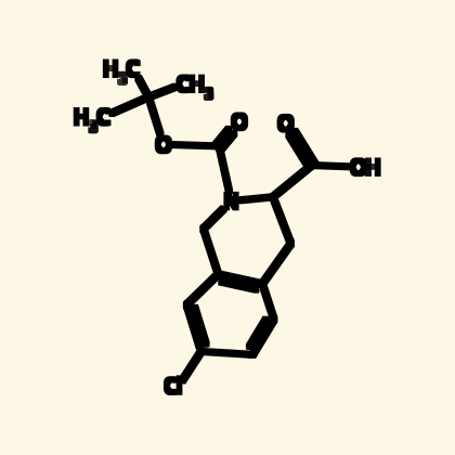 CC(C)(C)OC(=O)N1Cc2cc(Cl)ccc2CC1C(=O)O